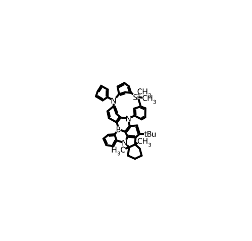 CC(C)(C)c1cc2c3c4c1C1(C)CCCCC1(C)N4c1ccccc1B3c1ccc3cc1N2c1cccc(c1)[Si](C)(C)c1cccc(c1)N3c1ccccc1